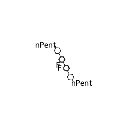 CCCCCC1CCC(c2ccc(-c3ccc(C4CCC(CCCCC)CC4)cc3F)c(F)c2)CC1